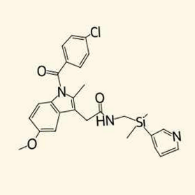 COc1ccc2c(c1)c(CC(=O)NC[Si](C)(C)c1cccnc1)c(C)n2C(=O)c1ccc(Cl)cc1